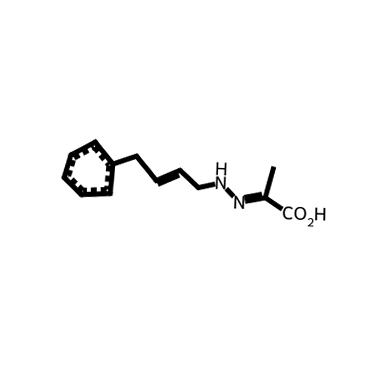 CC(=NNCC=CCc1ccccc1)C(=O)O